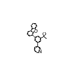 CC(=O)c1cc(-c2cccnc2)cc(-c2cccc3c2oc2ccccc23)c1